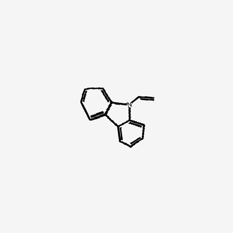 C=Cn1c2ccccc2c2ccccc21